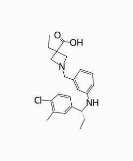 CC[C@@H](Nc1cccc(CN2CC(CC)(C(=O)O)C2)c1)c1ccc(Cl)c(C)c1